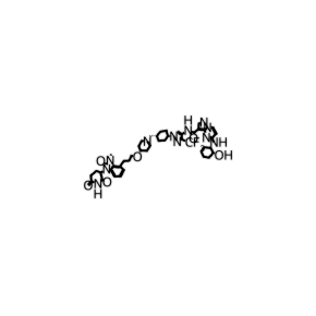 Cn1c(=O)n(C2CCC(=O)NC2=O)c2cccc(CCCOC3CCN(C[C@H]4CC[C@H](n5cc(NC(=O)c6cnn7ccc(N[C@@H]8CCCC[C@@H]8O)nc67)c(C(F)(F)F)n5)CC4)CC3)c21